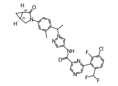 Cc1cc(N2C[C@H]3C[C@H]3C2=O)ccc1C(C)n1cc(NC(=O)c2cncc(-c3c(C(F)F)ccc(Cl)c3F)n2)cn1